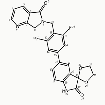 O=C1c2cccnc2CN1Cc1c(F)cc(-c2ccc3c(c2)C2(OCCO2)C(=O)N3)cc1F